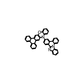 c1ccc2c(c1)Oc1cc3c4ccccc4c4ccccc4c3cc1N2c1ccc2c(c1)c1ccccc1n1c3ccccc3nc21